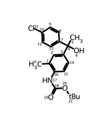 Cc1cc(C(C)(O)c2ccc(Cl)cc2)ccc1NC(=O)OC(C)(C)C